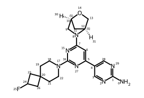 Nc1ncc(-c2cc(N3C[C@@H]4C[C@H]3CO4)nc(N3CCC4(CC3)CC(F)C4)n2)cn1